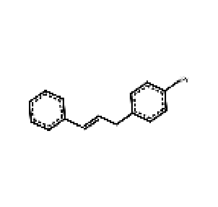 CC(C)c1ccc(CC=Cc2ccccc2)cc1